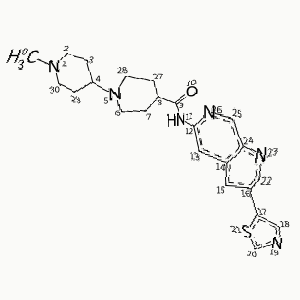 CN1CCC(N2CCC(C(=O)Nc3cc4cc(-c5cncs5)cnc4cn3)CC2)CC1